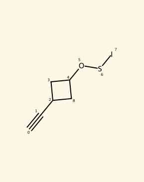 C#CC1CC(OSI)C1